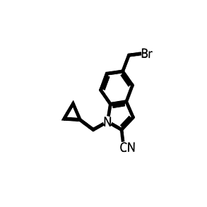 N#Cc1cc2cc(CBr)ccc2n1CC1CC1